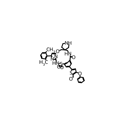 Cc1cccc(C)c1-c1cc2nc(n1)NS(=O)(=O)c1cc(cc(-c3cc(Oc4ccccc4)c(C=O)s3)c1)C(=O)NCC1(CCNCC1)CO2